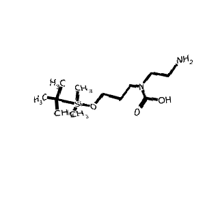 CC(C)(C)[Si](C)(C)OCCCN(CCN)C(=O)O